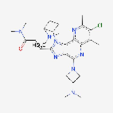 Cc1nc2c(nc(N3CC(N(C)C)C3)c3nc(CCC(=O)N(C)C)n(C4C5CC4N(C(=O)O)C5)c32)c(C)c1Cl